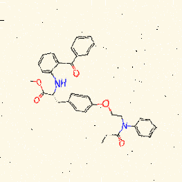 CCC(=O)N(CCOc1ccc(C[C@@H](Nc2ccccc2C(=O)c2ccccc2)C(=O)OC)cc1)c1ccccc1